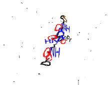 CCCN1C(=O)[C@H](CCCCNC(=O)OCc2ccccc2)NC(=O)C12CCN(C(=O)NCCc1cccs1)CC2